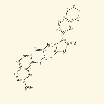 COc1ccc2nccc(C=C(CC3CN(c4ccc5c(c4)OCCO5)C(=O)O3)C(N)=O)c2c1